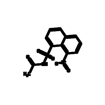 CC(=O)NS(=O)(=O)c1cccc2cccc([N+](=O)[O-])c12